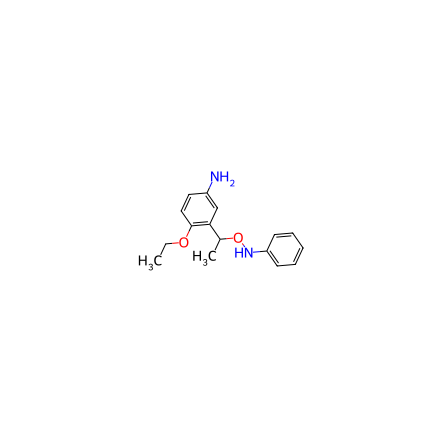 CCOc1ccc(N)cc1C(C)ONc1ccccc1